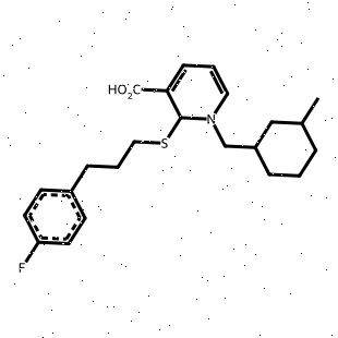 CC1CCCC(CN2C=CC=C(C(=O)O)C2SCCCc2ccc(F)cc2)C1